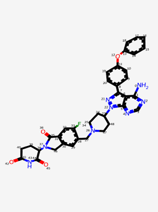 Nc1ncnc2c1c(-c1ccc(Oc3ccccc3)cc1)nn2C1CCN(Cc2cc3c(cc2F)C(=O)N(C2CCC(=O)NC2=O)C3)CC1